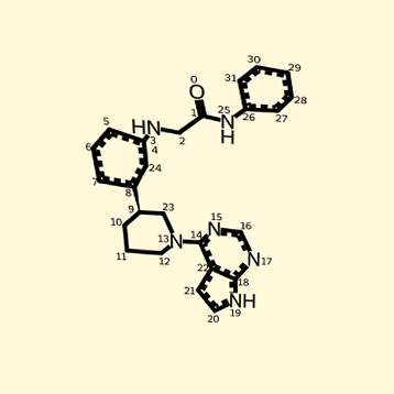 O=C(CNc1cccc([C@@H]2CCCN(c3ncnc4[nH]ccc34)C2)c1)Nc1ccccc1